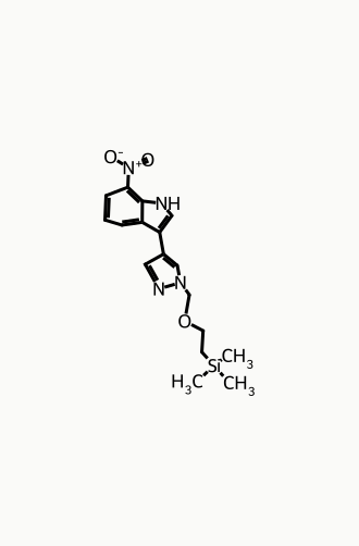 C[Si](C)(C)CCOCn1cc(-c2c[nH]c3c([N+](=O)[O-])cccc23)cn1